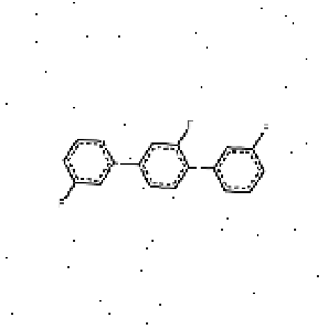 Fc1cccc(-c2ccc(-c3cccc(F)c3)c(F)c2)c1